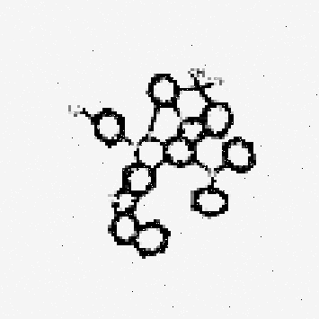 Cc1ccc(N2B3c4cccc5c4-n4c6c(cccc6c6c(N(c7ccccc7)c7ccccc7)cc(c3c64)-c3cc4c(cc32)oc2ccc3ccccc3c24)C5(C)C)cc1